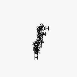 Cc1c(-c2nc3cc(CN4CC[C@@H](C(=O)O)C4)cc(C#N)c3o2)cccc1-c1cccc(-n2cc3c(n2)CNCC3)c1Cl